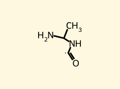 CC(N)N[C]=O